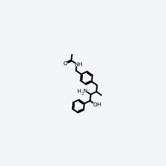 CC(=O)NCc1ccc(CC(C)C(N)C(O)c2ccccc2)cc1